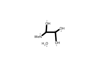 CNC(O)C(O)O.O